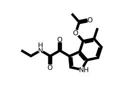 CCNC(=O)C(=O)c1c[nH]c2ccc(C)c(OC(C)=O)c12